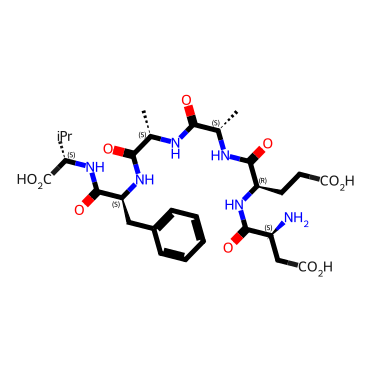 CC(C)[C@H](NC(=O)[C@H](Cc1ccccc1)NC(=O)[C@H](C)NC(=O)[C@H](C)NC(=O)[C@@H](CCC(=O)O)NC(=O)[C@@H](N)CC(=O)O)C(=O)O